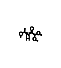 COC(C)NC(=O)C(OC)OC